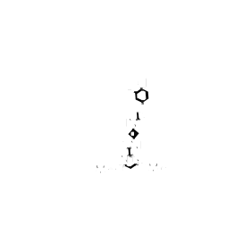 COc1cc(OC)nc(C(=O)NC23CC(NC(=O)COc4ccc(Cl)c(F)c4)(C2)C3)n1